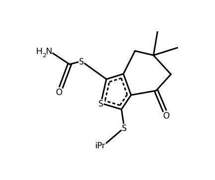 CC(C)Sc1sc(SC(N)=O)c2c1C(=O)CC(C)(C)C2